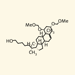 COCO[C@@H]1CC2=CC[C@H]3[C@@H]4CC[C@H]([C@H](C)CCCCCO)[C@@]4(C)CC[C@@H]3[C@@]2(C)[C@@H](OCOC)C1